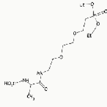 CCOP(=O)(CCOCCOCCNC(=O)C(C)NC(=O)O)OCC